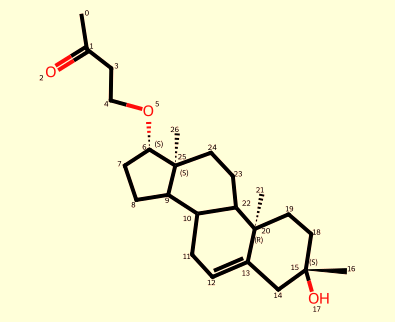 CC(=O)CCO[C@H]1CCC2C3CC=C4C[C@@](C)(O)CC[C@]4(C)C3CC[C@@]21C